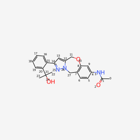 CC(=O)Nc1ccc2c(c1)OCc1cc(-c3ccccc3C(C)(C)O)nn1C2